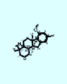 COc1cc(C)cc2c1[C@@]1(C)CC[C@H]3C(C)(C)CCC[C@]3(C)[C@@H]1C2